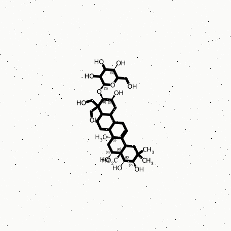 CC1(C)CC2C3=CCC4C5C[C@H](O)[C@H](O[C@@H]6OC(CO)[C@@H](O)C(O)C6O)C(CO)(CO)C5CCC4[C@]3(C)C[C@@H](O)[C@@]2(C(=O)O)[C@@H](O)[C@@H]1O